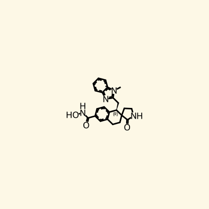 Cn1c(C[C@@H]2c3ccc(C(=O)NO)cc3CCC23CCNC3=O)nc2ccccc21